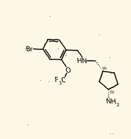 N[C@H]1CC[C@@H](CNCc2ccc(Br)cc2OC(F)(F)F)C1